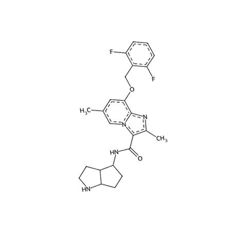 Cc1cc(OCc2c(F)cccc2F)c2nc(C)c(C(=O)NC3CCC4NCCC43)n2c1